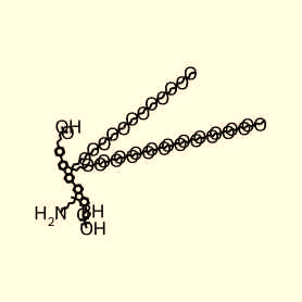 COCCOCCOCCOCCOCCOCCOCCOCCOCCOCCOCCOCCCC1(CCCOCCOOCCOOCCOOCCOOCCOOCCOOCCOOCCOOCCOOCCOOCCOC)c2cc(-c3ccc(CCCC(=O)O)cc3)ccc2-c2ccc(-c3ccc4c(c3)C(C)(CCCCN)c3cc(BOC(C)(C)C(C)(C)O)ccc3-4)cc21